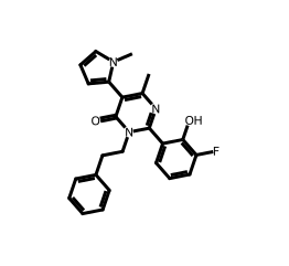 Cc1nc(-c2cccc(F)c2O)n(CCc2ccccc2)c(=O)c1-c1cccn1C